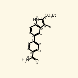 CCOC(=O)c1[nH]c2ccc(-c3ccc(C(N)=O)cc3)cc2c1C